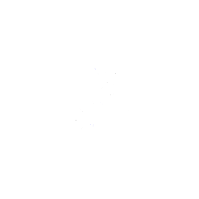 CC(C)(C)c1cc(C(C)(C)C)c(NC(=O)CC(=O)C2=CCCC=C2N)cc1C#N